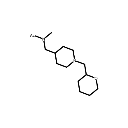 CC(=O)N(C)CC1CCN(CC2CCCCO2)CC1